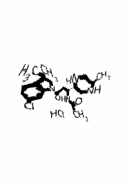 CC(=O)NC(CC(=O)N1CC(C)(C)c2ccc(Cl)cc21)[C@H]1CN[C@H](C)CN1.Cl